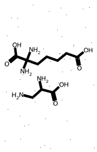 NC(N)(CCCCC(=O)O)C(=O)O.NCC(N)C(=O)O